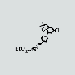 CCOC(=O)[C@@H]1C[C@H]1CCc1ccc(-c2cc(Cl)cc3c2OC(C)(C)C3)cc1